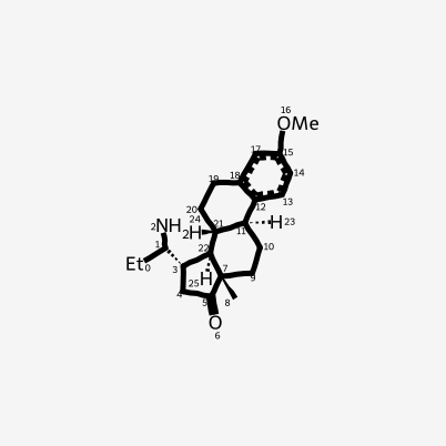 CCC(N)[C@H]1CC(=O)[C@@]2(C)CC[C@@H]3c4ccc(OC)cc4CC[C@H]3[C@H]12